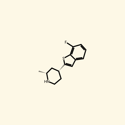 C[C@@H]1C[C@H](c2cc3cccc(F)c3s2)CCN1